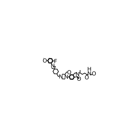 COc1ccc(F)c(N2CC3(CCC(CN4CCN5c6ccc7c(c6OCC5C4)CN(C(C)CCC(=O)NC=O)C7=O)CC3)C2)c1